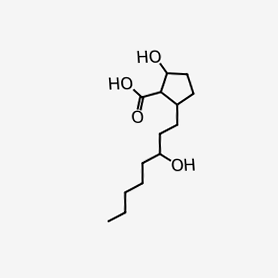 CCCCCC(O)CCC1CCC(O)C1C(=O)O